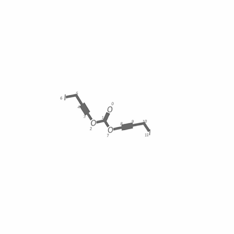 O=C(OC#CCI)OC#CCI